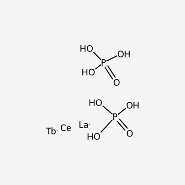 O=P(O)(O)O.O=P(O)(O)O.[Ce].[La].[Tb]